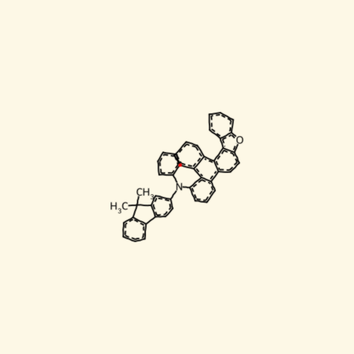 CC1(C)c2ccccc2-c2ccc(N(c3ccccc3)c3cccc4c5ccc6oc7ccccc7c6c5c5ccccc5c34)cc21